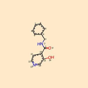 O=C(NCc1ccccc1)c1ccncc1O